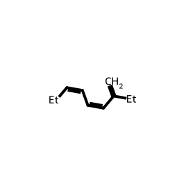 C=C(/C=C\C=C/CC)CC